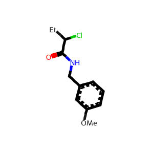 CCC(Cl)C(=O)NCc1cccc(OC)c1